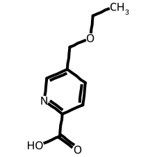 CCOCc1ccc(C(=O)O)nc1